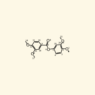 COc1ccc(OC(=O)c2ccc(OC)c(OC)c2)cc1OC